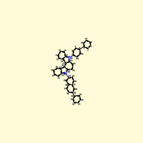 c1ccc(-c2ccc(-n3c4ccccc4c4c5c6ccccc6n(-c6ccc7cc(-c8ccccc8)ccc7c6)c5ccc43)cc2)cc1